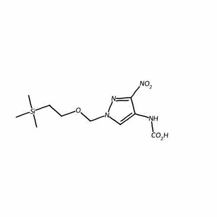 C[Si](C)(C)CCOCn1cc(NC(=O)O)c([N+](=O)[O-])n1